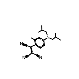 Cc1cc(N(CC(C)C)CC(C)C)ccc1C(C#N)=C(C#N)C#N